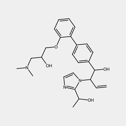 C=CC(C(O)c1ccc(-c2ccccc2OCC(O)CN(C)C)cc1)n1ccnc1C(C)O